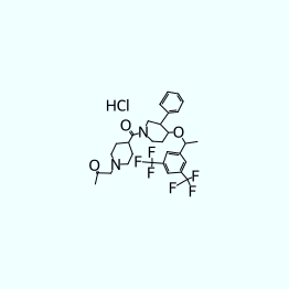 CC(=O)CN1CCC(C(=O)N2CCC(OC(C)c3cc(C(F)(F)F)cc(C(F)(F)F)c3)C(c3ccccc3)C2)CC1.Cl